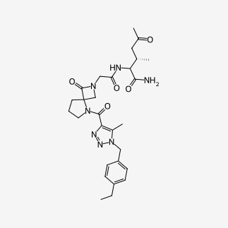 CCc1ccc(Cn2nnc(C(=O)N3CCCC34CN(CC(=O)NC(C(N)=O)[C@@H](C)CC(C)=O)C4=O)c2C)cc1